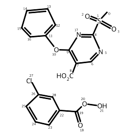 CS(=O)(=O)c1ncc(C(=O)O)c(Oc2ccccc2)n1.O=C(OO)c1cccc(Cl)c1